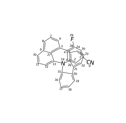 N#Cc1ccc(-c2cccc3cccc(-n4c5ccccc5c5ccccc54)c23)c(F)c1